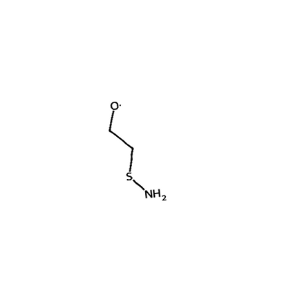 NSCC[O]